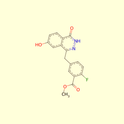 COC(=O)c1cc(Cc2n[nH]c(=O)c3ccc(O)cc23)ccc1F